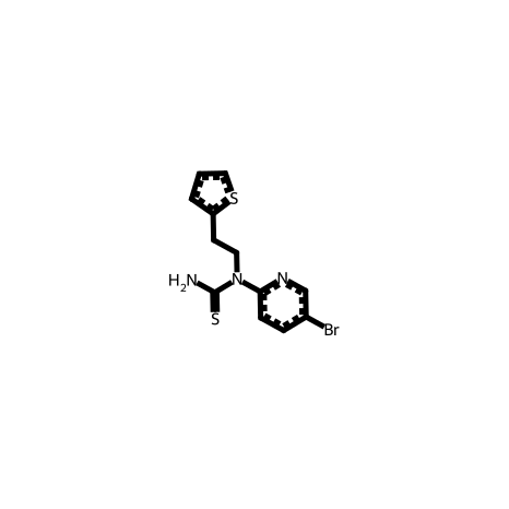 NC(=S)N(CCc1cccs1)c1ccc(Br)cn1